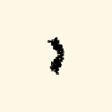 CCSN(SCC)C(=S)NS(=O)(=O)c1ccc(Cc2ccc(S(=O)(=O)NC(=S)N(SCC)SCC)cc2)cc1